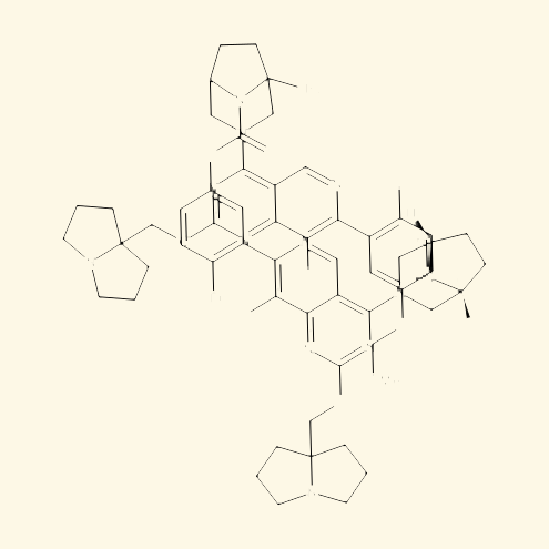 CCc1ccc(OC(=O)N2C3CCC2(C(C)(C)C)CN(c2nc(OCC45CCCN4CCC5)nc4c(F)c(-c5cc(OCOC)ccc5CC)ncc24)C3)cc1-c1ncc2c(N3C[C@H]4CC[C@@H](C3)N4)nc(OCC34CCCN3CCC4)nc2c1F